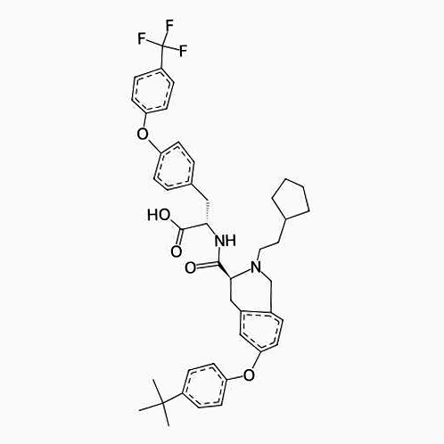 CC(C)(C)c1ccc(Oc2ccc3c(c2)C[C@@H](C(=O)N[C@@H](Cc2ccc(Oc4ccc(C(F)(F)F)cc4)cc2)C(=O)O)N(CCC2CCCC2)C3)cc1